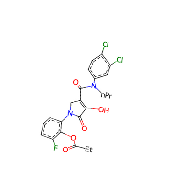 CCCN(C(=O)C1=C(O)C(=O)N(c2cccc(F)c2OC(=O)CC)C1)c1ccc(Cl)c(Cl)c1